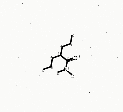 CCCC(CCC)C(=O)N(C)C